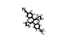 [C-]#[N+]c1ccc(C(=C2SC=CS2)C(=C2SC=CS2)c2ccc(C#N)cc2)cc1